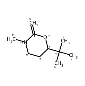 C=C1OC(C(C)(C)C)CCN1C